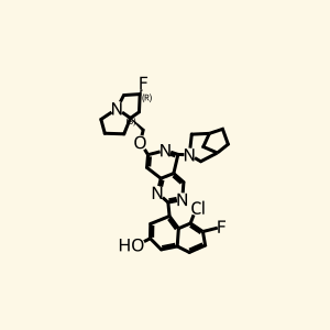 Oc1cc(-c2ncc3c(N4CC5CCC(C5)C4)nc(OC[C@@]45CCCN4C[C@H](F)C5)cc3n2)c2c(Cl)c(F)ccc2c1